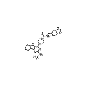 CNc1nc(N2CCN(C(=S)NCc3ccc4c(c3)OCO4)CC2)c2oc3ccccc3c2n1